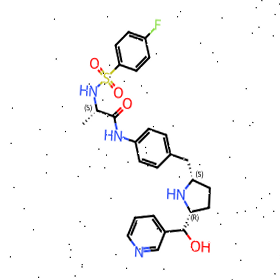 C[C@H](NS(=O)(=O)c1ccc(F)cc1)C(=O)Nc1ccc(C[C@@H]2CC[C@H](C(O)c3cccnc3)N2)cc1